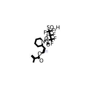 C=C(C)C(=O)O/C=C\C1CCCCN1S(=O)(=O)C(F)(F)C(F)(F)C(F)(F)S(=O)(=O)O